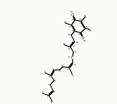 CC(C)=CCCC(C)=CCCC(C)=CCC/C(C)=C/CC1=C(C)C(=O)C(C)=C(C)C1=O